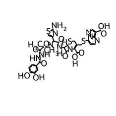 CC(C)(ON=C(C(=O)NC1C(=O)N2C(C(=O)O)=C(CSc3ccnc4c(C(=O)O)cnn34)CS[C@@H]12)c1csc(N)n1)C(=O)NNC(=O)c1ccc(O)c(O)c1